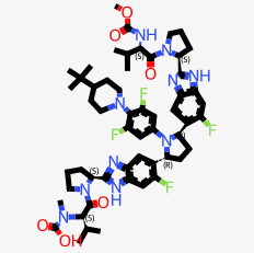 COC(=O)N[C@H](C(=O)N1CCC[C@H]1c1nc2cc([C@H]3CC[C@H](c4cc5nc([C@@H]6CCCN6C(=O)[C@H](C(C)C)N(C)C(=O)O)[nH]c5cc4F)N3c3cc(F)c(N4CCC(C(C)(C)C)CC4)c(F)c3)c(F)cc2[nH]1)C(C)C